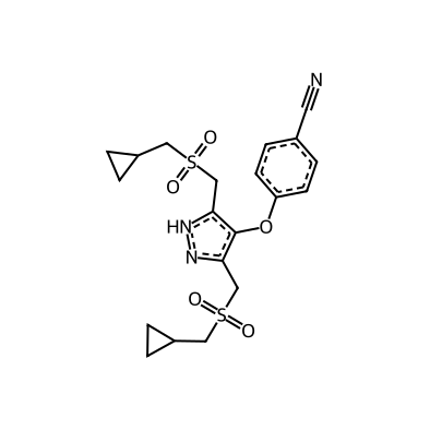 N#Cc1ccc(Oc2c(CS(=O)(=O)CC3CC3)n[nH]c2CS(=O)(=O)CC2CC2)cc1